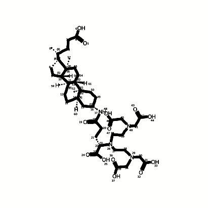 C[C@H](CCC(=O)O)[C@H]1CC[C@H]2[C@@H]3CC[C@@H]4C[C@@H](NC(=O)CC[C@@H](C(=O)O)N(CCN(CC(=O)O)CC(=O)O)CCN(CC(=O)O)CC(=O)O)CC[C@]4(C)[C@H]3CC[C@]12C